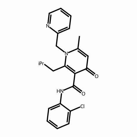 Cc1cc(=O)c(C(=O)Nc2ccccc2Cl)c(CC(C)C)n1Cc1ccccn1